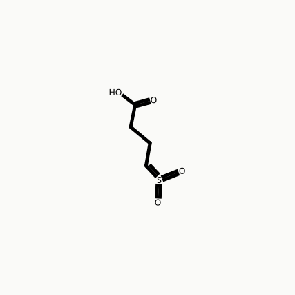 O=C(O)CCC=S(=O)=O